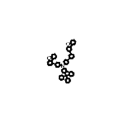 c1ccc(C2(c3ccccc3)c3ccccc3-c3cc(N(c4ccc(-c5cccc(-c6ccc7oc8ccccc8c7c6)c5)cc4)c4ccc(-c5cccc6oc7ccccc7c56)cc4)ccc32)cc1